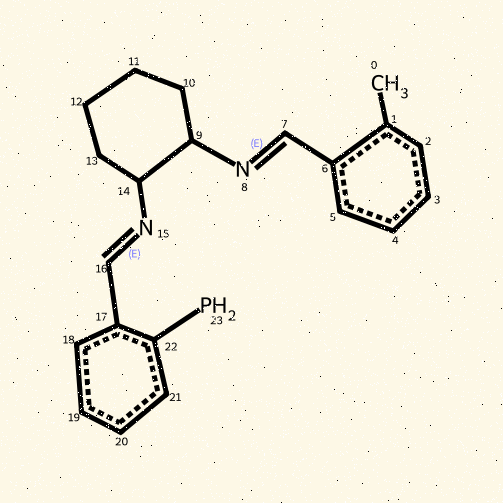 Cc1ccccc1/C=N/C1CCCCC1/N=C/c1ccccc1P